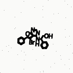 OCC(Nc1ncnc2oc(-c3ccccc3)c(Br)c12)c1ccccc1